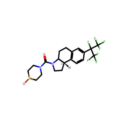 O=C(N1CC[S+]([O-])CC1)N1CC[C@H]2c3ccc(C(F)(C(F)(F)F)C(F)(F)F)cc3CCC21